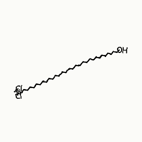 C[Si](Cl)(Cl)CCCCCCCCCCCCCCCCCCCCCCCCCCCCCCCO